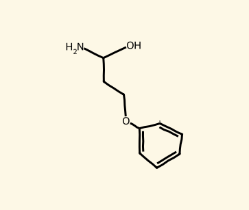 NC(O)CCOc1[c]cccc1